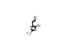 CC/C=C/c1sc(C(F)(F)F)nc1C(C)=O